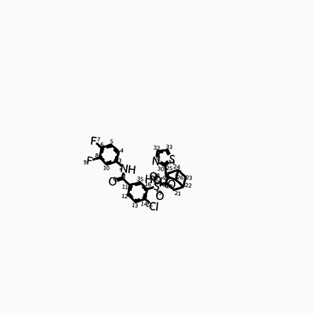 O=C(Nc1ccc(F)c(F)c1)c1ccc(Cl)c(S(=O)(=O)C2CC3CC(C2)C3(O)[C@H](O)c2nccs2)c1